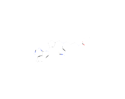 CNc1ncnc2c1ccn2C1CCC(CN(CCCNC(=O)OC(C)(C)C)c2cncs2)C1